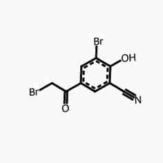 N#Cc1cc(C(=O)CBr)cc(Br)c1O